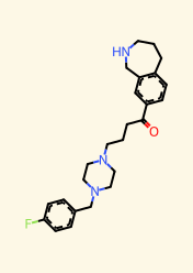 O=C(CCCN1CCN(Cc2ccc(F)cc2)CC1)c1ccc2c(c1)CNCCC2